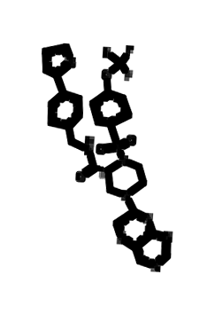 O=C(NCc1ccc(-c2cccs2)cc1)[C@H]1CN(c2cnc3cncnc3n2)CCN1S(=O)(=O)c1ccc(OC(F)(F)F)cc1